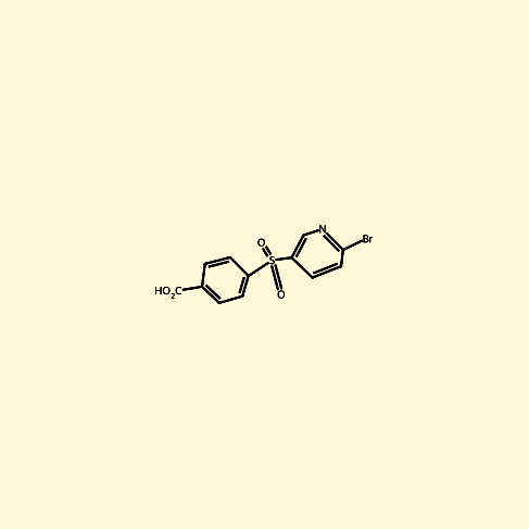 O=C(O)c1ccc(S(=O)(=O)c2ccc(Br)nc2)cc1